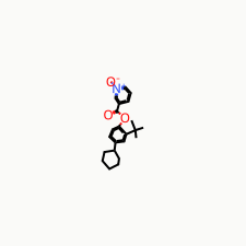 CC(C)(C)c1cc(C2CCCCC2)ccc1OC(=O)c1ccc[n+]([O-])c1